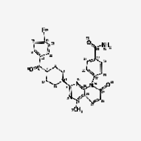 Cc1nc(N2CCC(C(=O)c3ccc(F)cc3)CC2)nc2c1ccc(=O)n2-c1ccc(C(N)=O)cc1